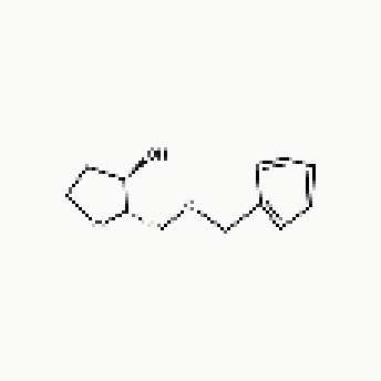 O[C@@H]1CCO[C@H]1COCc1ccccc1